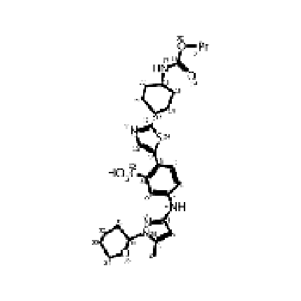 Cc1cc(Nc2ccc(-c3cnc([C@H]4CC[C@H](NC(=O)OC(C)C)CC4)s3)c(C(=O)O)c2)nn1C1CCCCO1